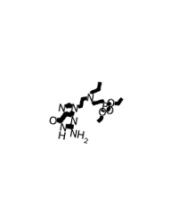 CCCN(CCn1cnc2c(=O)[nH]c(N)nc21)CCP(=O)(OCC)OCC